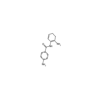 NC1=C(NC(=O)c2ccc(N)cc2)C=CCC1